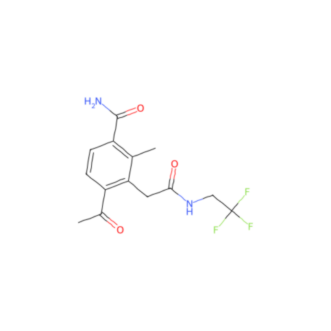 CC(=O)c1ccc(C(N)=O)c(C)c1CC(=O)NCC(F)(F)F